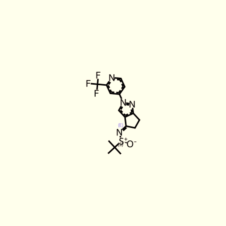 CC(C)(C)[S@@+]([O-])/N=C1\CCc2nn(-c3ccnc(C(F)(F)F)c3)cc21